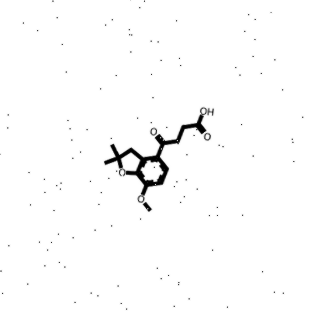 COc1ccc(C(=O)CCC(=O)O)c2c1OC(C)(C)C2